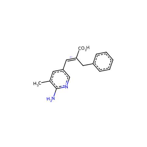 Cc1cc(/C=C(\Cc2ccccc2)C(=O)O)cnc1N